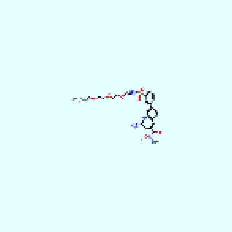 CCCN(OCC)C(=O)C1=Cc2ccc(-c3cccc(S(=O)(=O)NCCOCCOCCOCCC(=O)O)c3)cc2N=C(N)C1